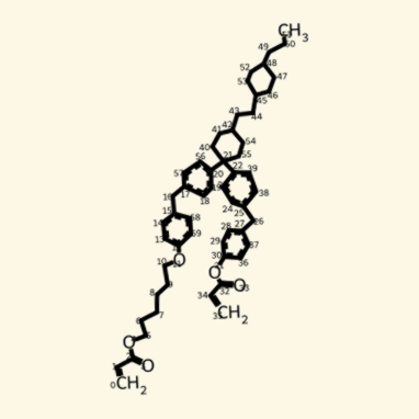 C=CC(=O)OCCCCCCOc1ccc(Cc2ccc(C3(c4ccc(Cc5ccc(OC(=O)C=C)cc5)cc4)CCC(CCC4CCC(CCC)CC4)CC3)cc2)cc1